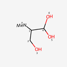 CNC(CO)C(O)O